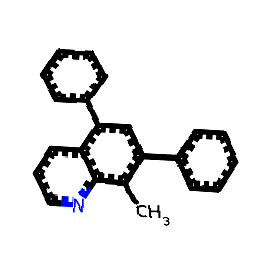 Cc1c(-c2ccccc2)cc(-c2ccccc2)c2cccnc12